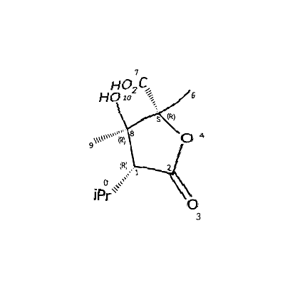 CC(C)[C@H]1C(=O)O[C@@](C)(C(=O)O)[C@]1(C)O